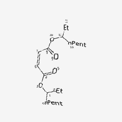 CCCCCC(CC)OC(=O)/C=C\C(=O)OC(CC)CCCCC